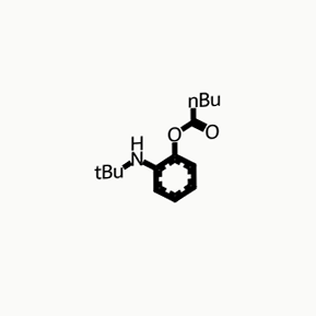 CCCCC(=O)Oc1ccccc1NC(C)(C)C